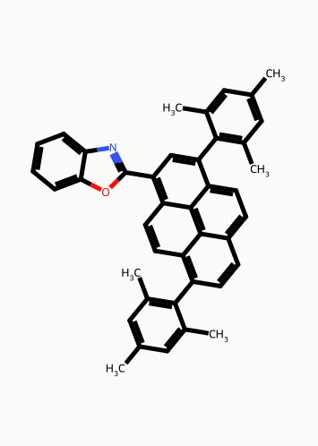 Cc1cc(C)c(-c2ccc3ccc4c(-c5c(C)cc(C)cc5C)cc(-c5nc6ccccc6o5)c5ccc2c3c54)c(C)c1